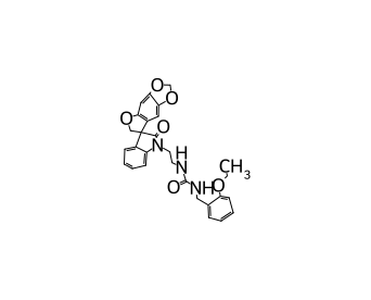 CCOc1ccccc1CNC(=O)NCCN1C(=O)C2(COc3cc4c(cc32)OCO4)c2ccccc21